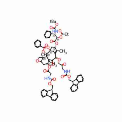 CCC(=O)O[C@@H](C(=O)O[C@H]1C[C@]2(O)CC(=C1C)[C@@H](OCC(=O)CNC(=O)OCC1c3ccccc3-c3ccccc31)C(=O)C1(C)C([C@@H]2OC(=O)c2ccccc2)[C@]2(C)COC2C[C@@H]1OC(=O)CNC(=O)OCC1c2ccccc2-c2ccccc21)[C@@H](NC(=O)OC(C)(C)C)c1ccccc1